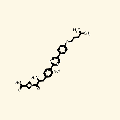 CC(C)CCCOc1ccc(-c2cnc(-c3ccc(CC(N)C(=O)N4CC(C(=O)O)C4)cc3)nc2)cc1.Cl